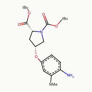 CNc1cc(O[C@@H]2C[C@H](C(=O)OC(C)(C)C)N(C(=O)OC(C)(C)C)C2)ccc1N